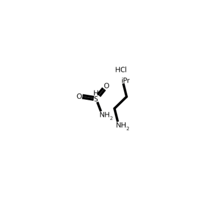 CC(C)CCN.Cl.N[SH](=O)=O